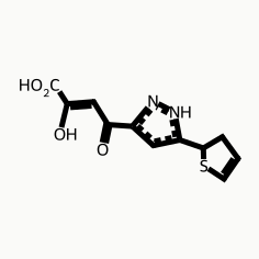 O=C(O)C(O)=CC(=O)c1cc(C2CC=CS2)[nH]n1